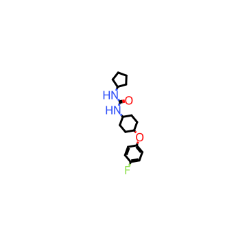 O=C(NC1CCCC1)NC1CCC(Oc2ccc(F)cc2)CC1